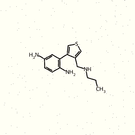 CCCNCc1cscc1-c1cc(N)ccc1N